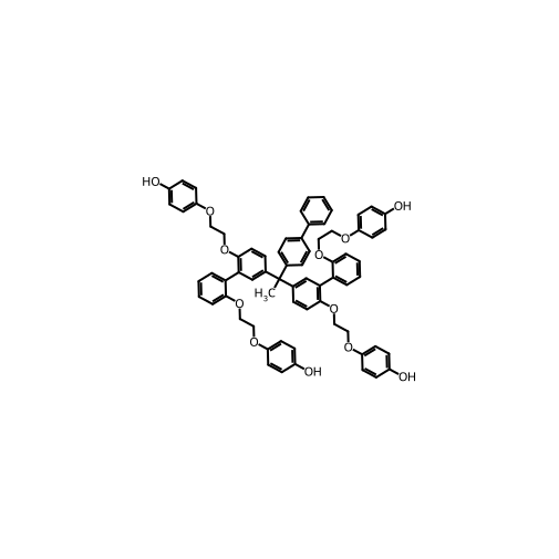 CC(c1ccc(-c2ccccc2)cc1)(c1ccc(OCCOc2ccc(O)cc2)c(-c2ccccc2OCCOc2ccc(O)cc2)c1)c1ccc(OCCOc2ccc(O)cc2)c(-c2ccccc2OCCOc2ccc(O)cc2)c1